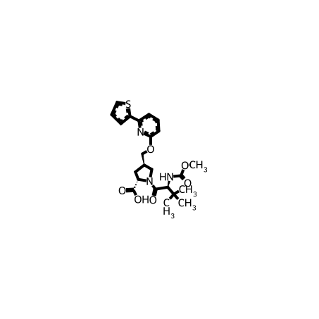 COC(=O)N[C@H](C(=O)N1C[C@H](COc2cccc(-c3cccs3)n2)C[C@H]1C(=O)O)C(C)(C)C